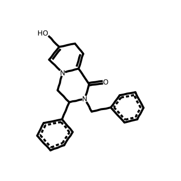 O=C1C2=CCC(O)=CN2CC(c2ccccc2)N1Cc1ccccc1